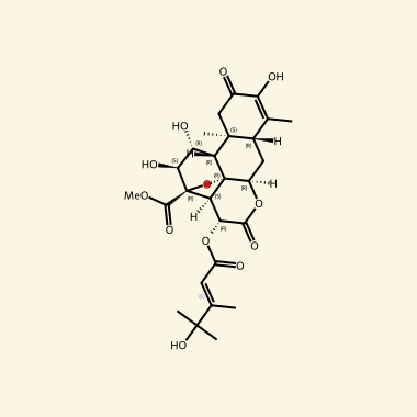 COC(=O)[C@]12OC[C@]34[C@H]([C@@H](O)[C@@H]1O)[C@@]1(C)CC(=O)C(O)=C(C)[C@@H]1C[C@H]3OC(=O)[C@H](OC(=O)/C=C(\C)C(C)(C)O)[C@@H]24